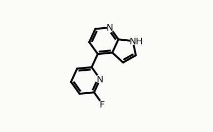 Fc1cccc(-c2ccnc3[nH]ccc23)n1